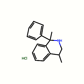 CC1CNC(C)(c2ccccc2)c2ccccc21.Cl